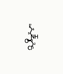 O=C(CCl)NCCI